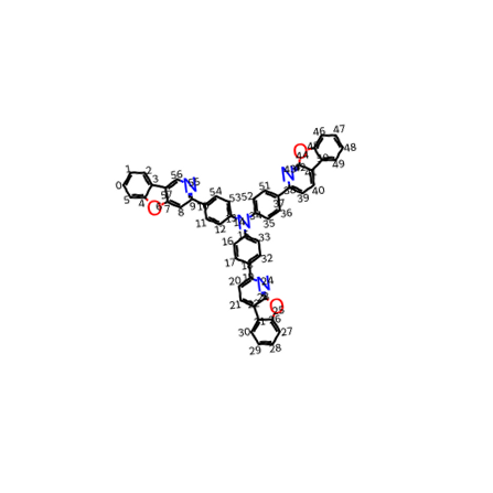 c1ccc2c(c1)oc1cc(-c3ccc(N(c4ccc(-c5ccc6c(n5)oc5ccccc56)cc4)c4ccc(-c5ccc6c(n5)oc5ccccc56)cc4)cc3)ncc12